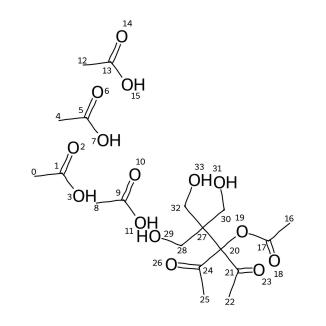 CC(=O)O.CC(=O)O.CC(=O)O.CC(=O)O.CC(=O)OC(C(C)=O)(C(C)=O)C(CO)(CO)CO